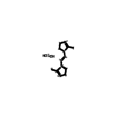 CC1=NCCN1N=NN1CCN=C1C.Cl.Cl